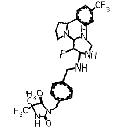 CC1(C)NC(=O)N(Cc2ccc(CNC3NCNC(N4CCCC4c4ccc(C(F)(F)F)cc4)C3F)cc2)C1=O